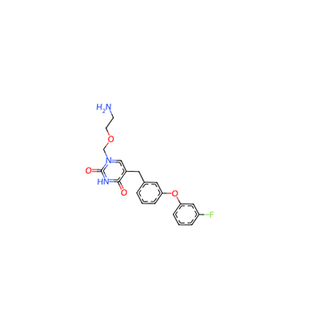 NCCOCn1cc(Cc2cccc(Oc3cccc(F)c3)c2)c(=O)[nH]c1=O